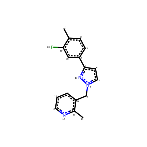 Cc1ccc(-c2ccn(Cc3cccnc3C)n2)cc1F